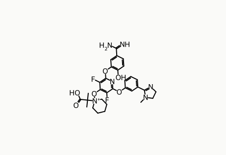 CN1CCN=C1c1cccc(Oc2nc(Oc3cc(C(=N)N)ccc3O)c(F)c(O[N+]3(C(C)(C)C(=O)O)CCCCC3)c2F)c1